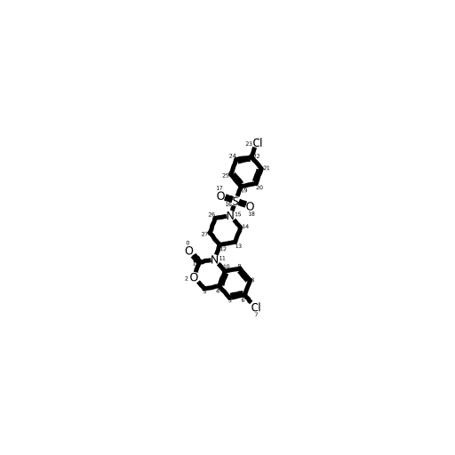 O=C1OCc2cc(Cl)ccc2N1C1CCN(S(=O)(=O)c2ccc(Cl)cc2)CC1